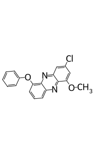 COc1cc(Cl)cc2nc3c(Oc4ccccc4)cccc3nc12